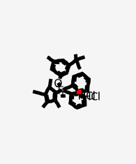 Cl.Cl.[CH2]=[Ti]([O]c1cc(C)cc(C(C)(C)C)c1)([C]1=C(C)C(C)=C(C)C1C)([c]1ccccc1)[c]1ccccc1